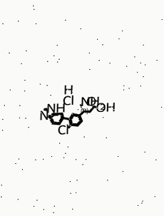 Cl.NC[C@H](CC(=O)O)c1ccc(Cl)c(-c2ccc3nc[nH]c3c2)c1